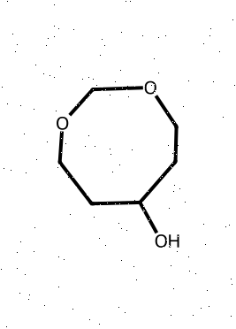 OC1CCOCOCC1